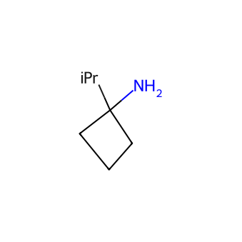 CC(C)C1(N)CCC1